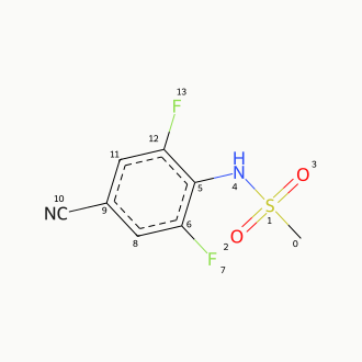 CS(=O)(=O)Nc1c(F)cc(C#N)cc1F